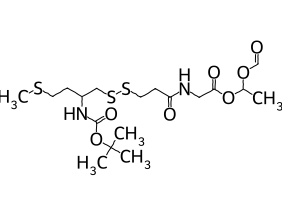 CSCCC(CSSCCC(=O)NCC(=O)OC(C)OC=O)NC(=O)OC(C)(C)C